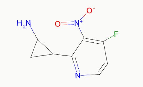 NC1CC1c1nccc(F)c1[N+](=O)[O-]